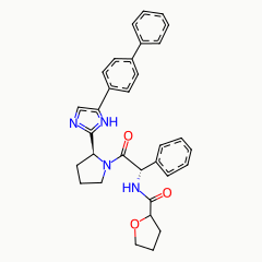 O=C(N[C@H](C(=O)N1CCC[C@H]1c1ncc(-c2ccc(-c3ccccc3)cc2)[nH]1)c1ccccc1)C1CCCO1